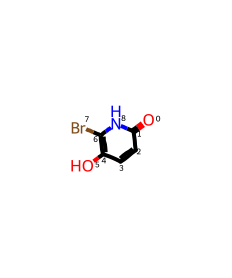 O=c1ccc(O)c(Br)[nH]1